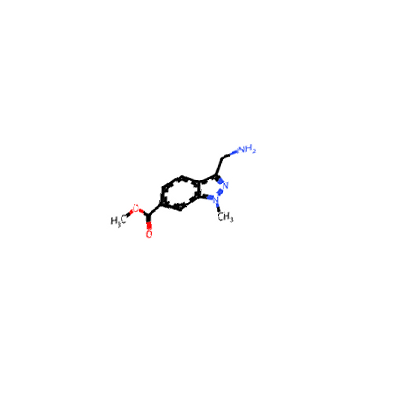 COC(=O)c1ccc2c(CN)nn(C)c2c1